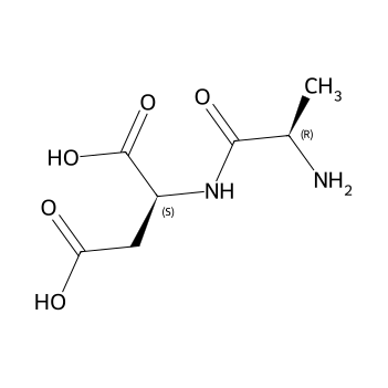 C[C@@H](N)C(=O)N[C@@H](CC(=O)O)C(=O)O